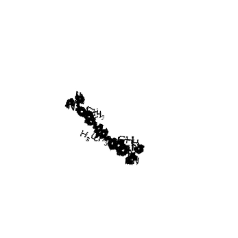 CC1(C)c2cc(/C=C/c3ccc4c(c3)C(C)(C)c3cc(N(c5cccnc5)c5ccccn5)ccc3-4)ccc2-c2ccc(/C=C/c3ccc4c(c3)C(C)(C)c3cc(N(c5cccnc5)c5ccccn5)ccc3-4)cc21